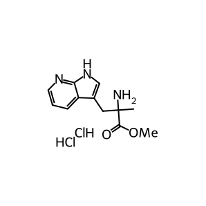 COC(=O)C(C)(N)Cc1c[nH]c2ncccc12.Cl.Cl